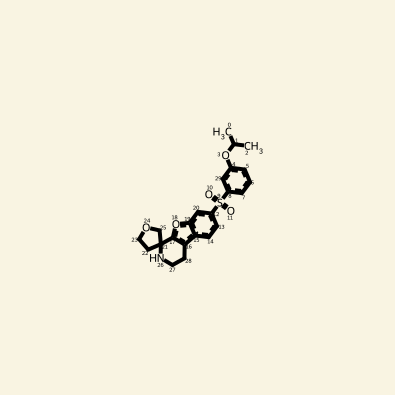 CC(C)Oc1cccc(S(=O)(=O)c2ccc3c4c(oc3c2)C2(CCOC2)NCC4)c1